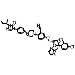 CCC(C)n1ncn(-c2ccc(N3CCN(c4ccc(OC[C@@H]5CO[C@@](Cn6nccn6)(C6C=CC(Cl)=CC6Cl)O5)cc4C#N)CC3)cc2)c1=O